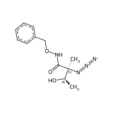 C[C@@H](O)[C@](C)(N=[N+]=[N-])C(=O)NOCc1ccccc1